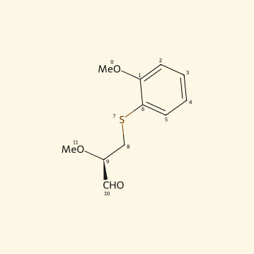 COc1ccccc1SC[C@@H](C=O)OC